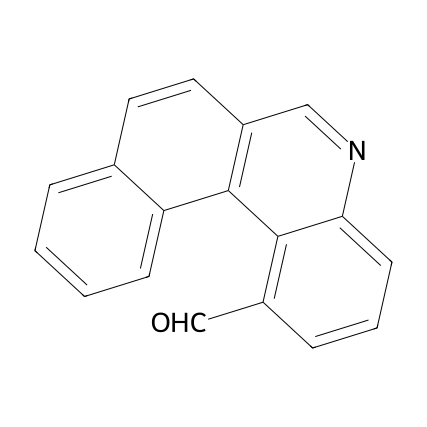 O=Cc1cccc2ncc3ccc4ccccc4c3c12